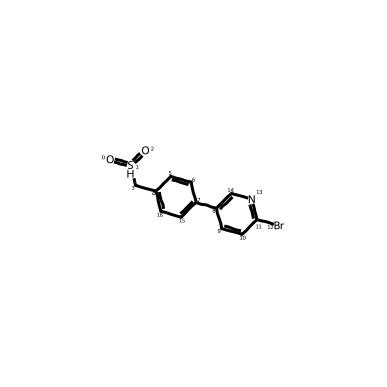 O=[SH](=O)Cc1ccc(-c2ccc(Br)nc2)cc1